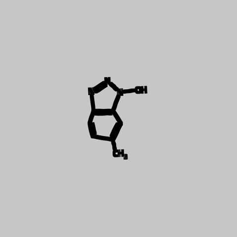 Cc1ccc2nnn(O)c2c1